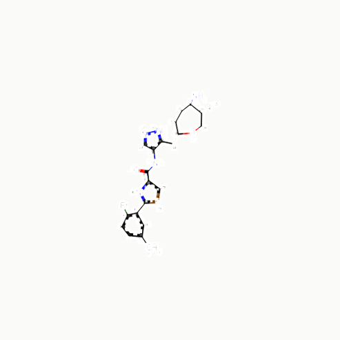 Cc1ccc(F)c(-c2nc(C(=O)Nc3cn[nH]c3C[C@@H]3CC[C@@H](N)[C@H](F)CO3)cs2)c1